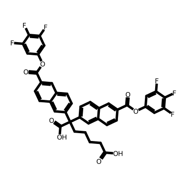 O=C(O)CCCCC(C(=O)O)(c1ccc2cc(C(=O)Oc3cc(F)c(F)c(F)c3)ccc2c1)c1ccc2cc(C(=O)Oc3cc(F)c(F)c(F)c3)ccc2c1